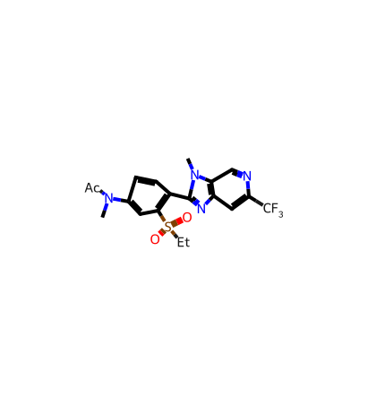 CCS(=O)(=O)c1cc(N(C)C(C)=O)ccc1-c1nc2cc(C(F)(F)F)ncc2n1C